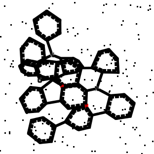 c1ccc(-c2ccc(-c3ccccc3N(c3ccc4c(c3)C3(c5ccccc5-4)c4ccccc4N(c4ccccc4)c4ccccc43)c3ccccc3-c3ccc4oc5ccccc5c4c3)cc2)cc1